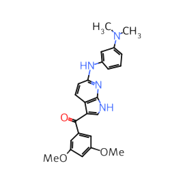 COc1cc(OC)cc(C(=O)c2c[nH]c3nc(Nc4cccc(N(C)C)c4)ccc23)c1